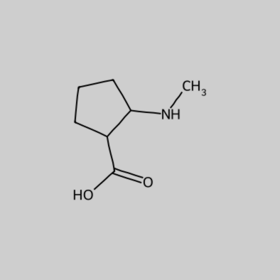 CNC1CCCC1C(=O)O